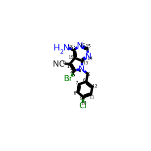 N#Cc1c(Br)n(Cc2ccc(Cl)cc2)c2ncnc(N)c12